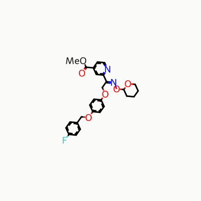 COC(=O)c1ccnc(/C(COc2ccc(OCc3ccc(F)cc3)cc2)=N/OC2CCCCO2)c1